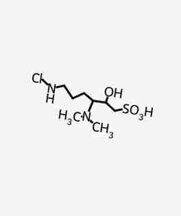 CN(C)C(CCCNCl)C(O)CS(=O)(=O)O